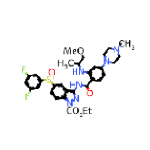 CCOC(=O)n1nc(NC(=O)c2ccc(N3CCN(C)CC3)cc2NC(C)COC)c2cc([S+]([O-])c3cc(F)cc(F)c3)ccc21